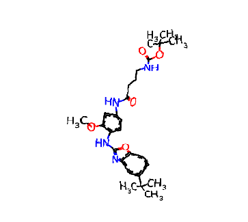 COc1cc(NC(=O)CCCNC(=O)OC(C)(C)C)ccc1Nc1nc2cc(C(C)(C)C)ccc2o1